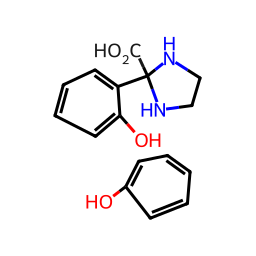 O=C(O)C1(c2ccccc2O)NCCN1.Oc1ccccc1